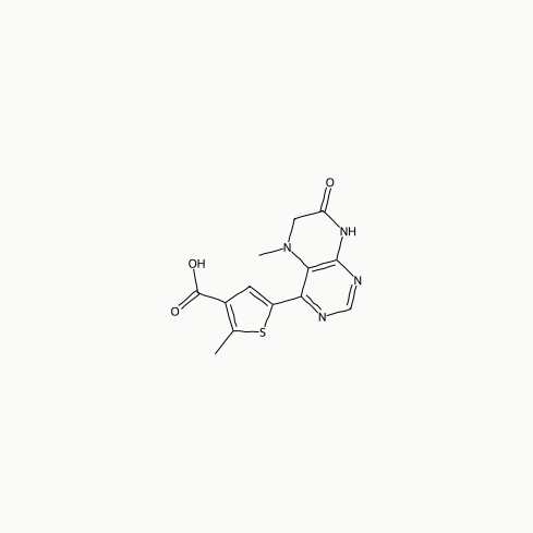 Cc1sc(-c2ncnc3c2N(C)CC(=O)N3)cc1C(=O)O